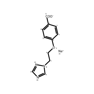 O=C([O-])c1ccc(OCCn2cncn2)cc1.[Na+]